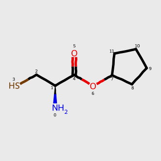 N[C@@H](CS)C(=O)OC1CCCC1